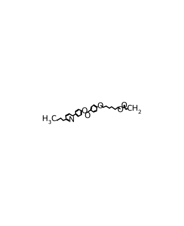 C=CC(=O)OCCCCCCOc1ccc(C(=O)Oc2ccc(-c3ccc(CCCC)cn3)cc2)cc1